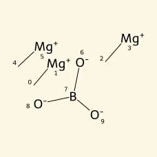 [CH3][Mg+].[CH3][Mg+].[CH3][Mg+].[O-]B([O-])[O-]